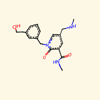 CNCc1cc(C(=O)NC)c(=O)n(Cc2cccc(CO)c2)c1